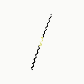 CCCCCCCCCCCCSSSSCCCCCCCCCCCC